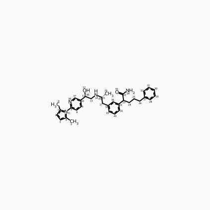 Cc1ccc(C)n1-c1ccc([C@@H](O)CN[C@H](C)Cc2cccc(C(CCCc3ccccc3)C(N)=O)c2)cn1